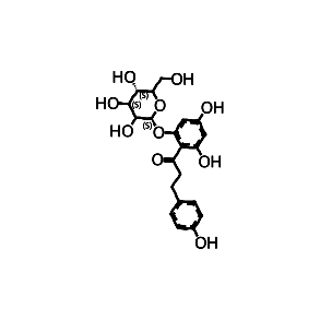 O=C(CCc1ccc(O)cc1)c1c(O)cc(O)cc1O[C@@H]1OC(CO)[C@@H](O)[C@H](O)C1O